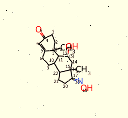 C[C@]12CCC(=O)C=C1CCC1C2[C@@H](O)C[C@]2(C)C(=NO)CCC12